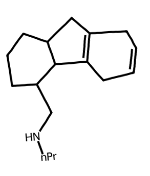 CCCNCC1CCCC2CC3=C(CC=CC3)C12